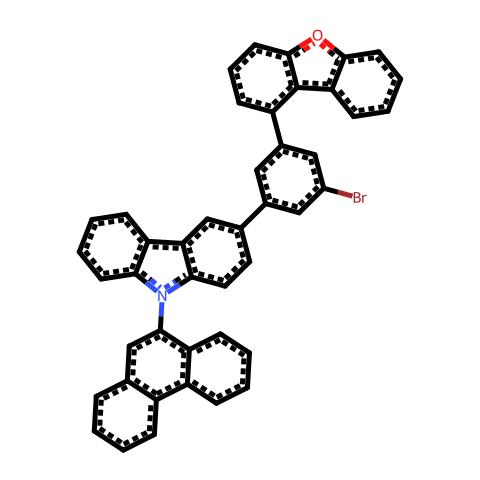 Brc1cc(-c2ccc3c(c2)c2ccccc2n3-c2cc3ccccc3c3ccccc23)cc(-c2cccc3oc4ccccc4c23)c1